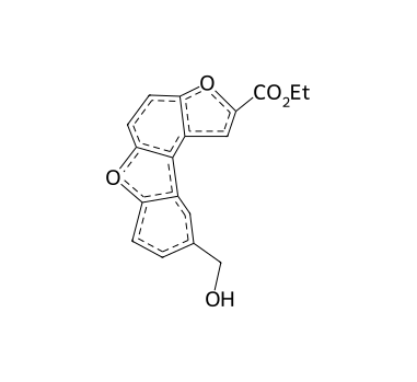 CCOC(=O)c1cc2c(ccc3oc4ccc(CO)cc4c32)o1